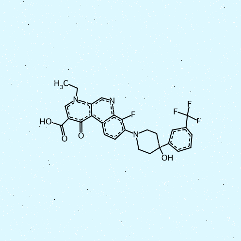 CCn1cc(C(=O)O)c(=O)c2c3ccc(N4CCC(O)(c5cccc(C(F)(F)F)c5)CC4)c(F)c3ncc21